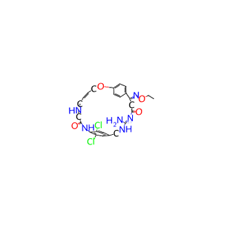 CCON=C1CC(=O)/N=C(\N)NCc2cc(Cl)c(c(Cl)c2)NC(=O)CNCC=CCOc2ccc1cc2